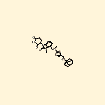 CN(Cc1cccc2c1n(C)c(=O)n2C1CCC(=O)NC1=O)c1nc(CNC23CC4CC(CC(C4)C2)C3)cs1